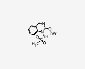 CCCOC1N=Cc2ccccc2N1NS(C)(=O)=O